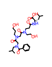 CC(C)C[C@H](NC(=O)CCN(CCO)C(=O)CN(CCCO)C(=O)CN(CC(C)C)C(=O)c1ccccc1)C(=O)O